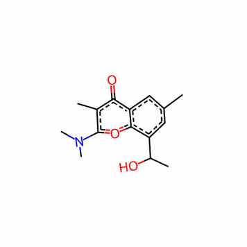 Cc1cc(C(C)O)c2oc(N(C)C)c(C)c(=O)c2c1